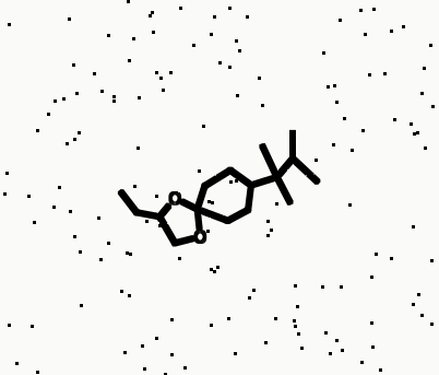 CCC1COC2(CCC(C(C)(C)C(C)C)CC2)O1